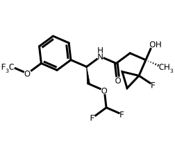 C[C@@](O)(CC(=O)N[C@@H](COC(F)F)c1cccc(OC(F)(F)F)c1)C1(F)CC1